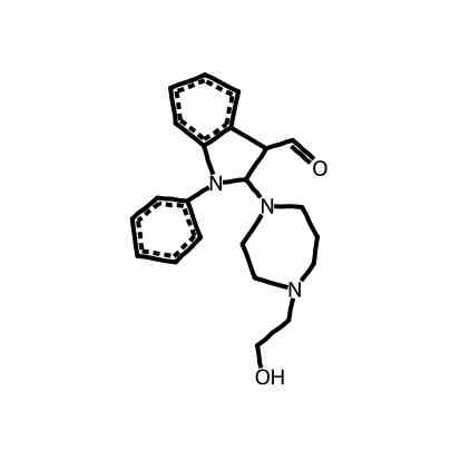 O=CC1c2ccccc2N(c2ccccc2)C1N1CCCN(CCO)CC1